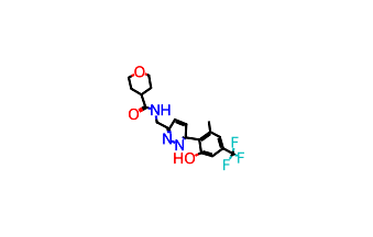 Cc1cc(C(F)(F)F)cc(O)c1-c1ccc(CNC(=O)C2CCOCC2)nn1